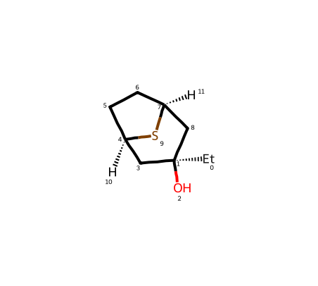 CC[C@]1(O)C[C@H]2CC[C@@H](C1)S2